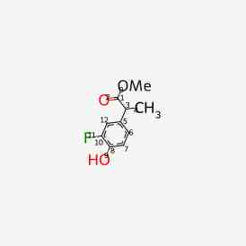 COC(=O)C(C)c1ccc(O)c(F)c1